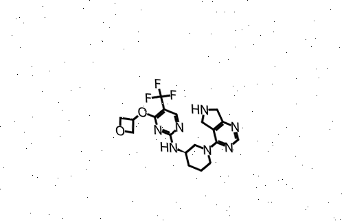 FC(F)(F)c1cnc(N[C@@H]2CCCN(c3ncnc4c3CNC4)C2)nc1OC1COC1